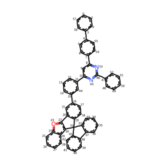 c1ccc(-c2ccc(-c3cc(-c4cccc(-c5ccc6c(c5)-c5oc7ccccc7c5C65c6ccccc6-c6ccccc65)c4)nc(-c4ccccc4)n3)cc2)cc1